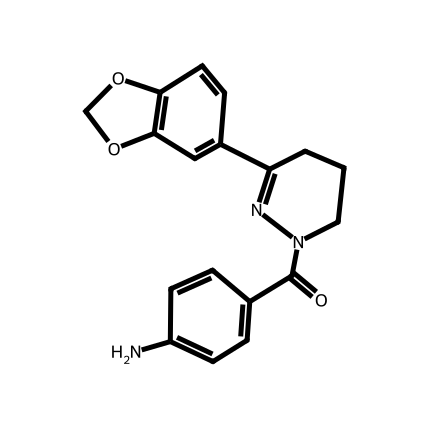 Nc1ccc(C(=O)N2CCCC(c3ccc4c(c3)OCO4)=N2)cc1